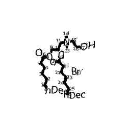 CCCCCCCCCCCCCCCC(=O)OCC(C[N+](C)(C)CCO)OC(=O)CCCCCCCCCCCCCCC.[Br-]